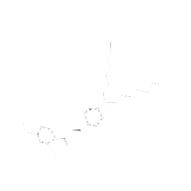 CCCCCCCCN(CCCCCCCC)c1ccc(/C=C/C(=O)c2ccc(OC)cc2O)cc1